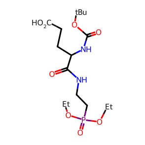 CCOP(=O)(CCNC(=O)C(CCC(=O)O)NC(=O)OC(C)(C)C)OCC